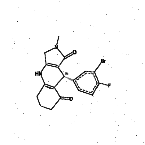 CN1CC2=C(C1=O)[C@H](c1ccc(F)c(Br)c1)C1=C(CCCC1=O)N2